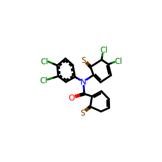 O=C(C1=CC=CCC1=S)N(C1=CC=C(Cl)C(Cl)C1=S)c1ccc(Cl)c(Cl)c1